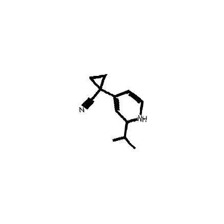 CC(C)C1C=C(C2(C#N)CC2)C=CN1